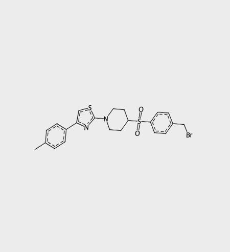 Cc1ccc(-c2csc(N3CCC(S(=O)(=O)c4ccc(CBr)cc4)CC3)n2)cc1